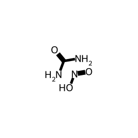 NC(N)=O.O=NO